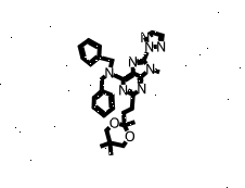 Cn1c(-n2nccn2)nc2c(N(Cc3ccccc3)Cc3ccccc3)nc(CCC3(C)OCC(C)(C)CO3)nc21